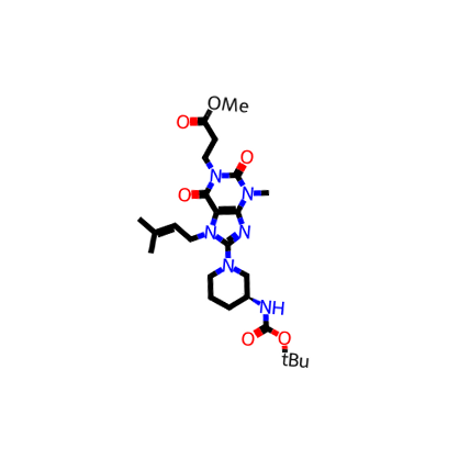 COC(=O)CCn1c(=O)c2c(nc(N3CCC[C@H](NC(=O)OC(C)(C)C)C3)n2CC=C(C)C)n(C)c1=O